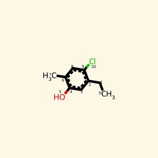 CCc1cc(O)c(C)cc1Cl